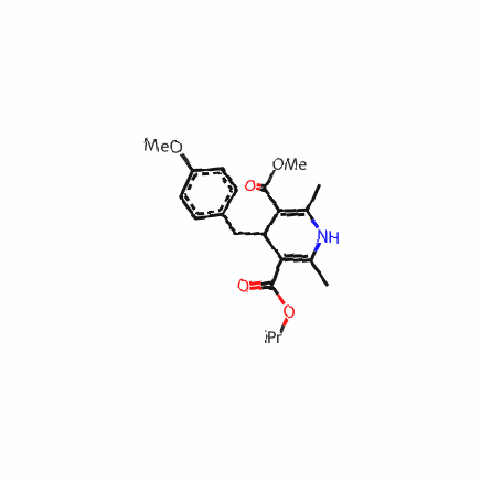 COC(=O)C1=C(C)NC(C)=C(C(=O)OC(C)C)C1Cc1ccc(OC)cc1